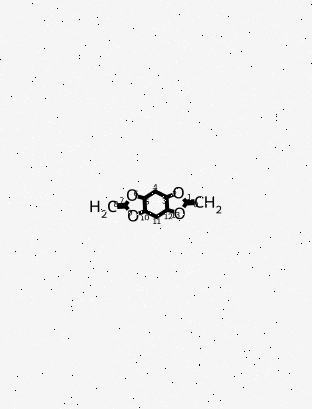 C=C1OC2CC3OC(=C)OC3CC2O1